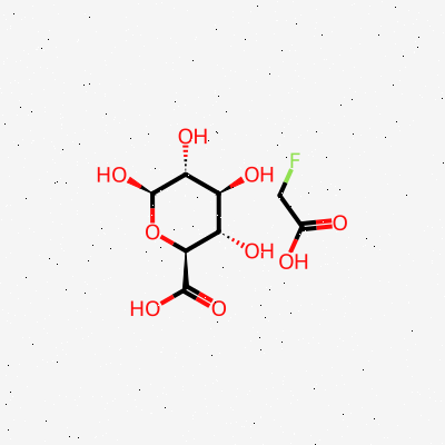 O=C(O)CF.O=C(O)[C@H]1O[C@@H](O)[C@H](O)[C@@H](O)[C@@H]1O